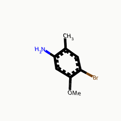 COc1cc(N)c(C)cc1Br